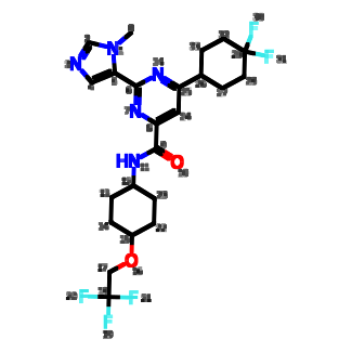 Cn1cncc1-c1nc(C(=O)NC2CCC(OCC(F)(F)F)CC2)cc(C2CCC(F)(F)CC2)n1